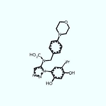 CC(C)c1cc(-n2nncc2N(Cc2ccc(N3CCOCC3)cc2)C(=O)O)c(O)cc1O